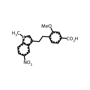 COc1cc(C(=O)O)ccc1CCc1cn(C)c2ccc([N+](=O)[O-])cc12